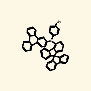 CC(C)(C)c1ccc(N(c2ccc3c4ccccc4c4ccccc4c3c2)c2cccc3c2-c2ccccc2C32c3ccccc3-c3ccccc32)cc1